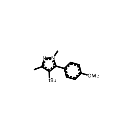 COc1ccc(-c2c(C(C)(C)C)c(C)nn2C)cc1